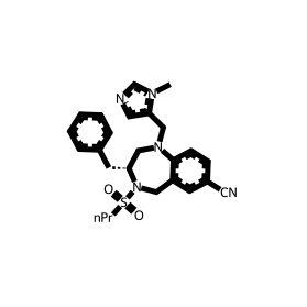 CCCS(=O)(=O)N1Cc2cc(C#N)ccc2N(Cc2cncn2C)C[C@H]1Cc1ccccc1